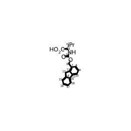 CC(C)[C@H](NC(=O)OCc1cccc2c1Cc1ccccc1-2)C(=O)O